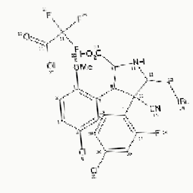 COc1ccc(Cl)cc1C1C(C(=O)O)NC(CC(C)(C)C)C1(C#N)c1ccc(Cl)cc1F.O=C(O)C(F)(F)F